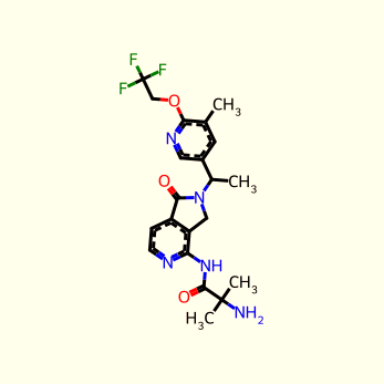 Cc1cc(C(C)N2Cc3c(ccnc3NC(=O)C(C)(C)N)C2=O)cnc1OCC(F)(F)F